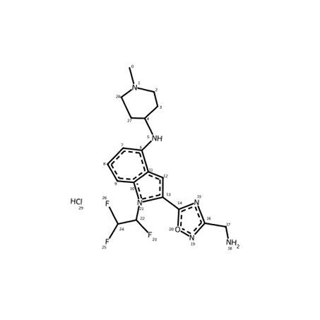 CN1CCC(Nc2cccc3c2cc(-c2nc(CN)no2)n3C(F)C(F)F)CC1.Cl